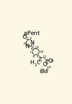 CCCCCOc1cnc(-c2ccc(C(C)CC(=O)OCC(C)CC)cc2)nc1